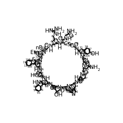 CCCC[C@H]1C(=O)N[C@@H](CCCNC(=N)N)C(=O)NC(C(=O)NCC(N)=O)CSCC(=O)N[C@@H](Cc2ccc(O)cc2)C(=O)N(C)[C@@H](C)C(=O)N[C@@H](CC(N)=O)C(=O)N2CCC[C@H]2C(=O)N[C@@H](Cc2cnc[nH]2)C(=O)N[C@@H](CC(C)C)C(=O)N2C[C@H](O)C[C@H]2C(=O)N[C@@H](Cc2c[nH]c3ccccc23)C(=O)N[C@@H](CO)C(=O)N[C@@H](Cc2csc3ccccc23)C(=O)N(C)[C@@H](COCC)C(=O)N1C